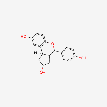 Oc1ccc(C2Oc3ccc(O)cc3[C@@H]3CC(O)CC23)cc1